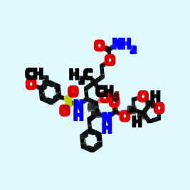 COc1ccc(S(=O)(=O)NC(CC(C)(C)CCOC(N)=O)[C@H](O)[C@H](Cc2ccccc2)NC(=O)O[C@H]2CO[C@H]3OCC[C@H]32)cc1